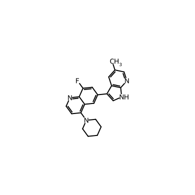 Cc1cnc2[nH]cc(-c3cc(F)c4nccc(N5CCCCC5)c4c3)c2c1